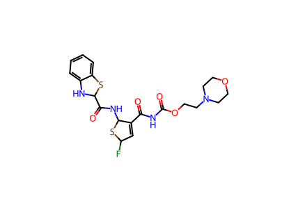 O=C(NC(=O)C1=CC(F)SC1NC(=O)C1Nc2ccccc2S1)OCCN1CCOCC1